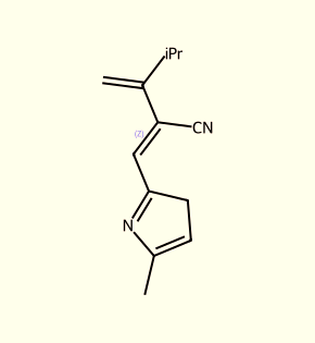 C=C(/C(C#N)=C/C1=NC(C)=CC1)C(C)C